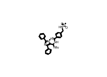 CCCCC(NCc1ccc(CNS(C)(=O)=O)cc1)c1c(-c2ccccc2)nc(-c2ccccc2)n1CCCC